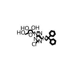 OCC1OC(n2cnc3c(N4CC(c5ccccc5)(c5ccccc5)C4)nc(Cl)nc32)C(O)C1O